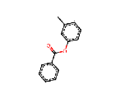 Cc1[c]ccc(OC(=O)c2ccccc2)c1